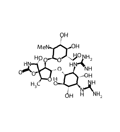 CN[C@@H]1[C@H](O[C@H]2[C@H](O[C@H]3[C@H](O)[C@@H](O)[C@H](NC(=N)N)[C@@H](O)[C@@H]3NC(=N)N)O[C@@H](C)[C@@]23OC(=O)N[C@@H]3O)O[C@@H](CO)[C@H](O)[C@H]1O